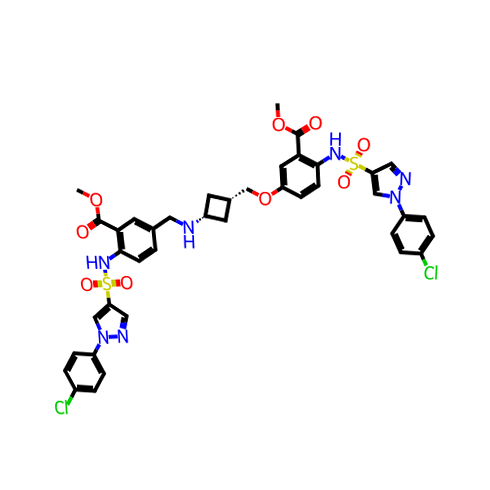 COC(=O)c1cc(CN[C@H]2C[C@@H](COc3ccc(NS(=O)(=O)c4cnn(-c5ccc(Cl)cc5)c4)c(C(=O)OC)c3)C2)ccc1NS(=O)(=O)c1cnn(-c2ccc(Cl)cc2)c1